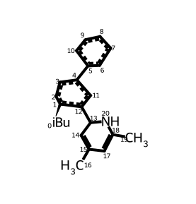 CC[C@H](C)c1ccc(-c2ccccc2)cc1C1C=C(C)C=C(C)N1